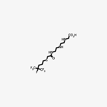 O=C(O)CNCCNCCNC(=O)CSCCCC(F)(C(F)(F)F)C(F)(F)F